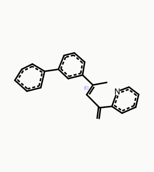 C=C(/C=C(\C)c1cccc(-c2ccccc2)c1)c1ccccn1